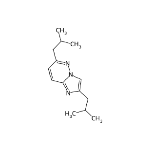 CC(C)Cc1cn2nc(CC(C)C)ccc2n1